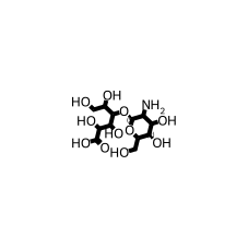 NC1C(O)[C@@H](O)C(CO)O[C@H]1OC(C(O)CO)C(O)C(O)C(=O)O